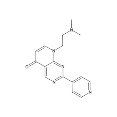 CN(C)CCn1ccc(=O)c2cnc(-c3ccncc3)nc21